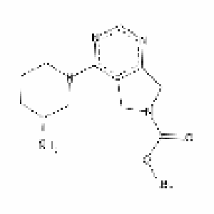 CC(C)(C)OC(=O)N1Cc2ncnc(N3CCC[C@@H](N)C3)c2C1